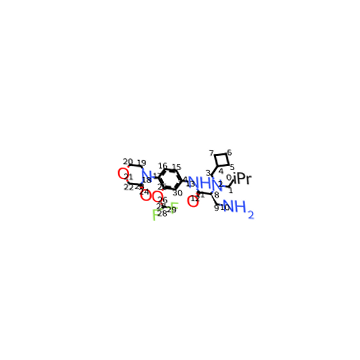 CC(C)CN(CC1CCC1)[C@@H](CN)C(=O)Nc1ccc(N2CCOCC2=O)c(OC(F)F)c1